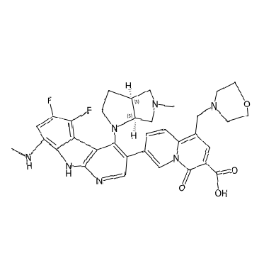 CNc1cc(F)c(F)c2c1[nH]c1ncc(-c3ccc4c(CN5CCOCC5)cc(C(=O)O)c(=O)n4c3)c(N3CC[C@H]4CN(C)C[C@H]43)c12